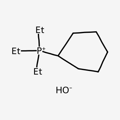 CC[P+](CC)(CC)C1CCCCC1.[OH-]